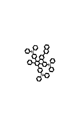 C1=CC(N(c2ccccc2)c2ccc(-c3c(-c4ccccc4)cc(-c4ccc(N(c5ccccc5)c5ccccc5)cc4)c4c5ccc(N(c6ccccc6)c6ccccc6)cc5c5cc(-c6ccc7ccccc7c6)ccc5c34)cc2)=CCC1